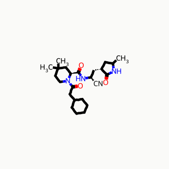 CC1C[C@@H](C[C@@H](C#N)NC(=O)[C@@H]2CC(C)(C)CCN2C(=O)CC2CCCCC2)C(=O)N1